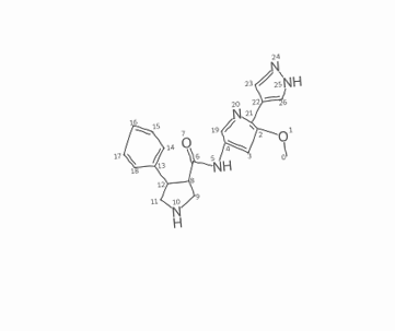 COc1cc(NC(=O)C2CNCC2c2ccccc2)cnc1-c1cn[nH]c1